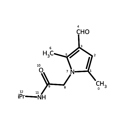 Cc1cc(C=O)c(C)n1CC(=O)NC(C)C